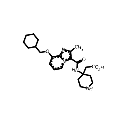 Cc1nc2c(OCC3CCCCC3)cccn2c1C(=O)NC1(CC(=O)O)CCNCC1